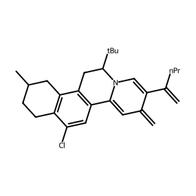 C=C1C=C2c3cc(Cl)c4c(c3CC(C(C)(C)C)N2C=C1C(=C)CCC)CC(C)CC4